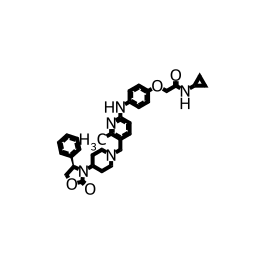 Cc1nc(Nc2ccc(OCC(=O)NC3CC3)cc2)ccc1CN1CCC(N2C(=O)OC[C@H]2c2ccccc2)CC1